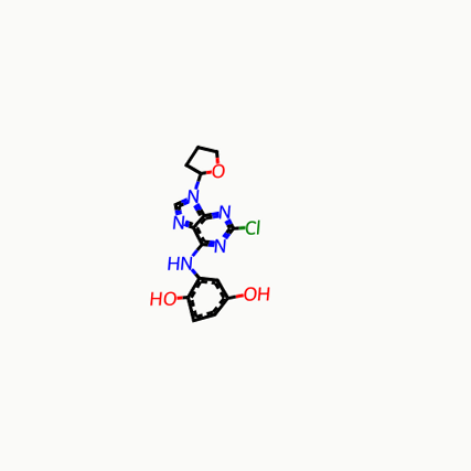 Oc1ccc(O)c(Nc2nc(Cl)nc3c2ncn3C2CCCO2)c1